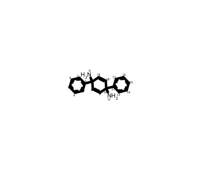 NC1(c2ccccc2)C=CC(N)(c2ccccc2)C=C1